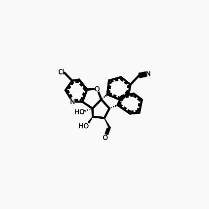 N#Cc1ccc([C@@]23Oc4cc(Cl)cnc4[C@]2(O)[C@H](O)[C@H](C=O)[C@H]3c2ccccc2)cc1